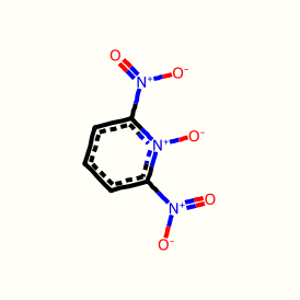 O=[N+]([O-])c1cccc([N+](=O)[O-])[n+]1[O-]